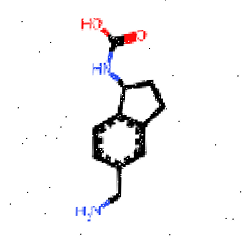 NCc1ccc2c(c1)CCC2NC(=O)O